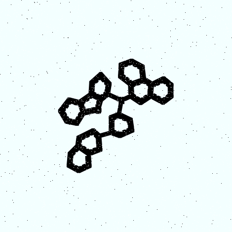 c1cc(-c2ccc3ccccc3c2)cc(N(c2cc3ccccc3c3ccccc23)c2cccc3c2oc2ccccc23)c1